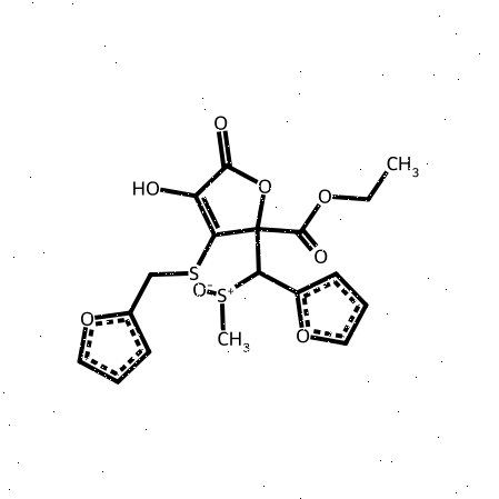 CCOC(=O)C1(C(c2ccco2)[S+](C)[O-])OC(=O)C(O)=C1SCc1ccco1